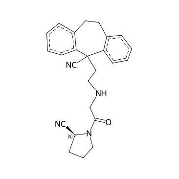 N#C[C@@H]1CCCN1C(=O)CNCCC1(C#N)c2ccccc2CCc2ccccc21